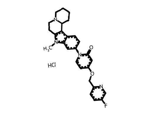 Cl.Cn1c2c(c3ccc(-n4ccc(OCc5ccc(F)cn5)cc4=O)cc31)C1CCCCN1CC2